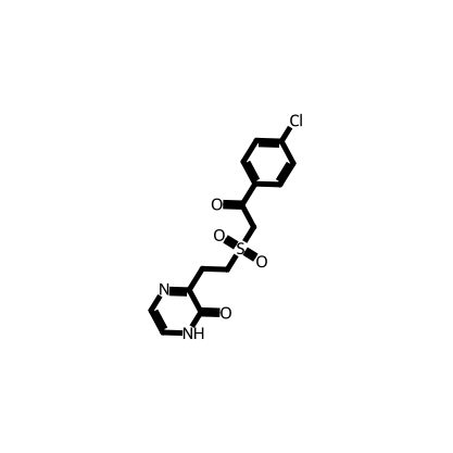 O=C(CS(=O)(=O)CCc1ncc[nH]c1=O)c1ccc(Cl)cc1